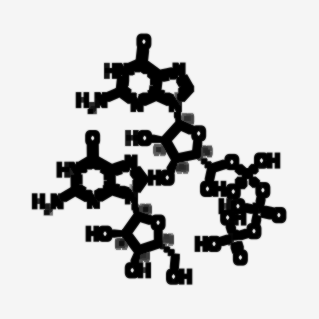 Nc1nc2c(ncn2[C@@H]2O[C@H](C(O)OP(=O)(O)OP(=O)(O)OP(=O)(O)O)[C@@H](O)[C@H]2O)c(=O)[nH]1.Nc1nc2c(ncn2[C@@H]2O[C@H](CO)[C@@H](O)[C@H]2O)c(=O)[nH]1